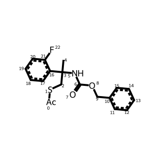 CC(=O)SCC(C)(NC(=O)OCc1ccccc1)c1ccccc1F